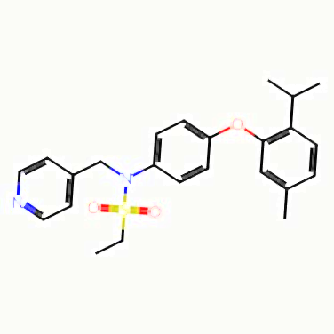 CCS(=O)(=O)N(Cc1ccncc1)c1ccc(Oc2cc(C)ccc2C(C)C)cc1